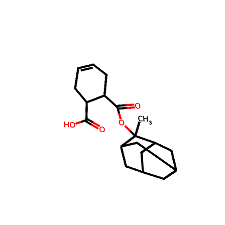 CC1(OC(=O)C2CC=CCC2C(=O)O)C2CC3CC(C2)CC1C3